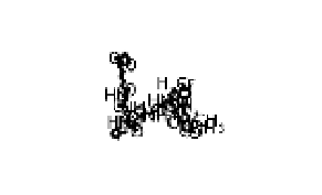 CC[C@@]1(O)C(=O)OCc2c1cc1n(c2=O)Cc2c-1nc1cc(F)c(C)c3c1c2[C@]([SiH3])(NC(=O)COCNC(=O)CNC(=O)[C@H](Cc1ccccc1)NC(=O)CNC(=O)CNC(=O)CCCCCN1C(=O)C=CC1=O)CC3